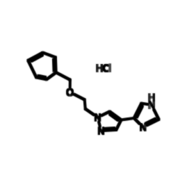 Cl.c1ccc(COCCn2cc(-c3c[nH]cn3)cn2)cc1